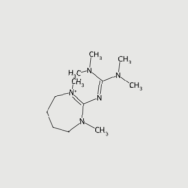 CN(C)C(=NC1=[N+](C)CCCCN1C)N(C)C